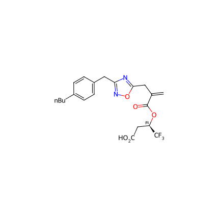 C=C(Cc1nc(Cc2ccc(CCCC)cc2)no1)C(=O)O[C@H](CC(=O)O)C(F)(F)F